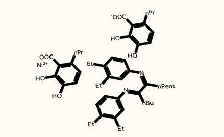 CCCCCC(=Nc1ccc(CC)c(CC)c1)C(CCCC)=Nc1ccc(CC)c(CC)c1.CCCc1ccc(O)c(O)c1C(=O)[O-].CCCc1ccc(O)c(O)c1C(=O)[O-].[Ni+2]